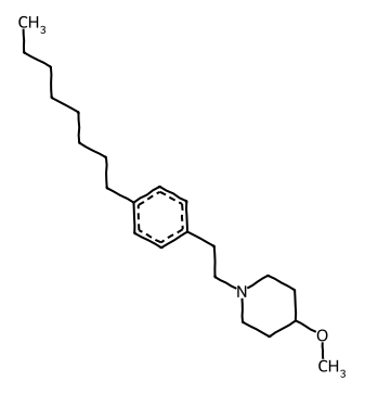 CCCCCCCCc1ccc(CCN2CCC(OC)CC2)cc1